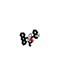 C=CC1C[N+]2(Cc3c4ccccc4cc4ccccc34)CCC1CC2C(OC)c1ccnc2ccccc12